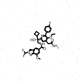 CCOc1c(CC(N)=O)cc([C@@](O)(CNC(=O)c2cc(OC)c3nn(C(F)F)cc3c2)C2CCC2)nc1-c1ccc(F)cc1